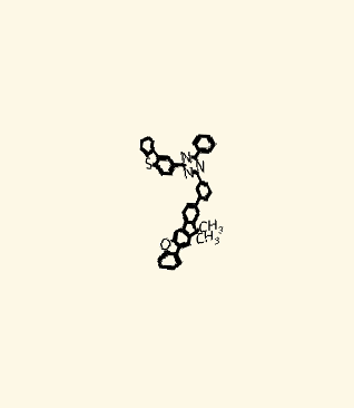 CC1(C)c2cc(-c3cccc(-c4nc(-c5ccccc5)nc(-c5ccc6sc7ccccc7c6c5)n4)c3)ccc2-c2cc3oc4ccccc4c3cc21